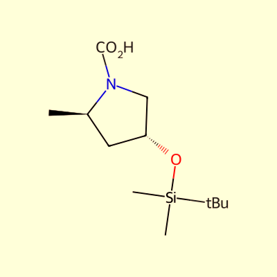 C[C@@H]1C[C@@H](O[Si](C)(C)C(C)(C)C)CN1C(=O)O